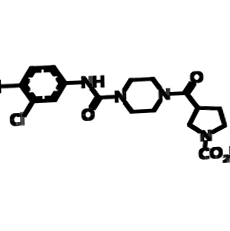 O=C(O)N1CCC(C(=O)N2CCN(C(=O)Nc3ccc(Cl)c(Cl)c3)CC2)C1